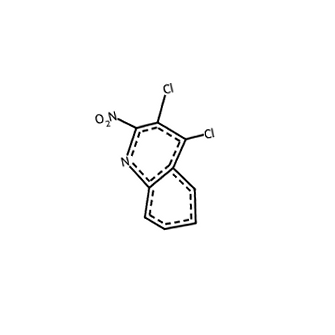 O=[N+]([O-])c1nc2ccccc2c(Cl)c1Cl